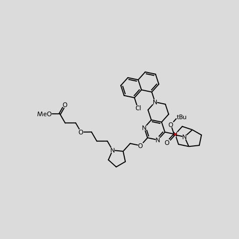 COC(=O)CCOCCCN1CCCC1COc1nc2c(c(N3CC4CCC(C3)N4C(=O)OC(C)(C)C)n1)CCN(c1cccc3cccc(Cl)c13)C2